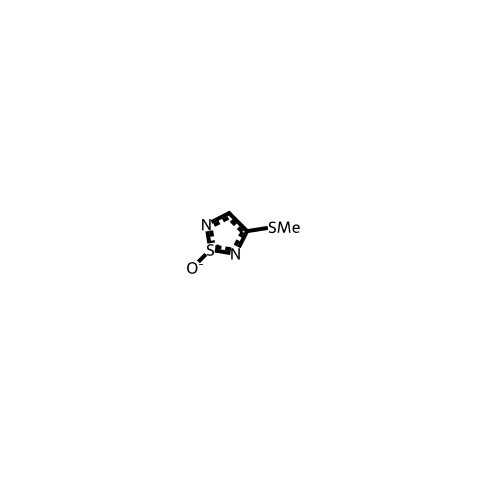 CSc1cn[s+]([O-])n1